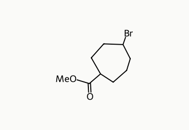 COC(=O)C1CCCC(Br)CC1